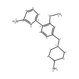 COc1cc(CN2CCC(N)CC2)ccc1-c1cccc(N)n1